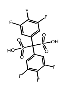 O=S(=O)(O)C(c1cc(F)c(F)c(F)c1)(c1cc(F)c(F)c(F)c1)S(=O)(=O)O